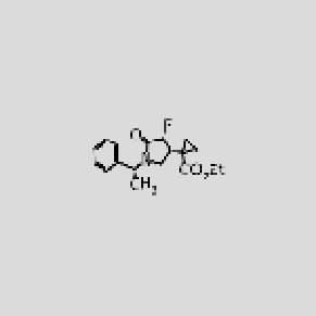 CCOC(=O)C1([C@H]2CN([C@@H](C)c3ccccc3)C(=O)[C@@H]2F)CC1